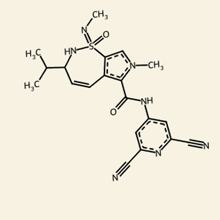 CN=S1(=O)NC(C(C)C)C=Cc2c1cn(C)c2C(=O)Nc1cc(C#N)nc(C#N)c1